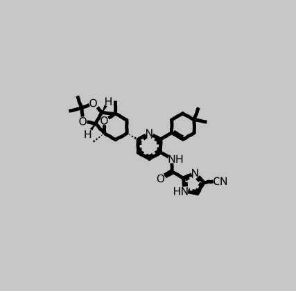 CC1(C)CC=C(c2nc([C@H]3CC4(C)O[C@@](C)(C3)[C@@H]3OC(C)(C)O[C@@H]34)ccc2NC(=O)c2nc(C#N)c[nH]2)CC1